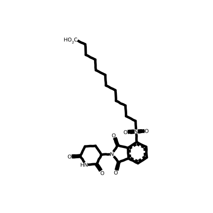 O=C(O)CCCCCCCCCCCS(=O)(=O)c1cccc2c1C(=O)N(C1CCC(=O)NC1=O)C2=O